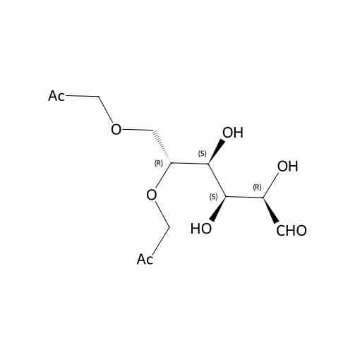 CC(=O)COC[C@@H](OCC(C)=O)[C@@H](O)[C@H](O)[C@@H](O)C=O